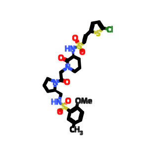 COc1ccc(C)cc1S(=O)(=O)NC[C@H]1CCCN1C(=O)CN1CCC[C@H](NS(=O)(=O)/C=C/c2ccc(Cl)s2)C1=O